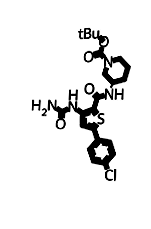 CC(C)(C)OC(=O)N1CCC[C@H](NC(=O)c2sc(-c3ccc(Cl)cc3)cc2NC(N)=O)C1